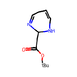 CC(C)(C)OC(=O)C1N=CC=CN1